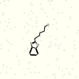 [S]CCCCCc1nc2ccccc2o1